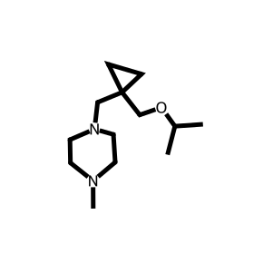 CC(C)OCC1(CN2CCN(C)CC2)CC1